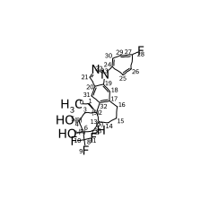 CC[C@]12C[C@@H](O)[C@@](O)(C(F)(F)F)C[C@@H]1CCCc1cc3c(cnn3-c3ccc(F)cc3)cc12